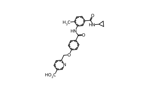 Cc1ccc(C(=O)NC2CC2)cc1NC(=O)c1ccc(OCc2ccc(C(=O)O)cn2)cc1